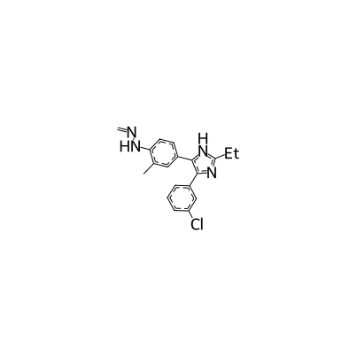 C=NNc1ccc(-c2[nH]c(CC)nc2-c2cccc(Cl)c2)cc1C